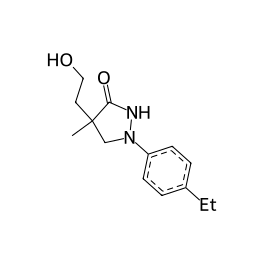 CCc1ccc(N2CC(C)(CCO)C(=O)N2)cc1